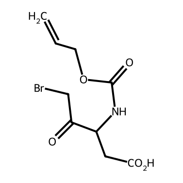 C=CCOC(=O)NC(CC(=O)O)C(=O)CBr